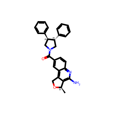 C[C@H]1OCc2c1c(N)nc1ccc(C(=O)N3C[C@@H](c4ccccc4)[C@H](c4ccccc4)C3)cc21